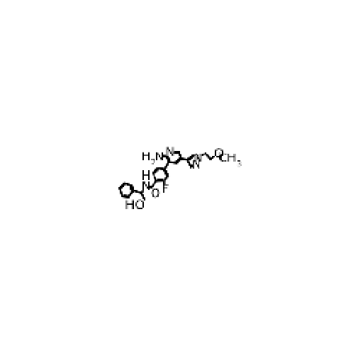 COCCn1cc(-c2cnc(N)c(-c3ccc(C(=O)NC(CO)c4ccccc4)c(F)c3)c2)cn1